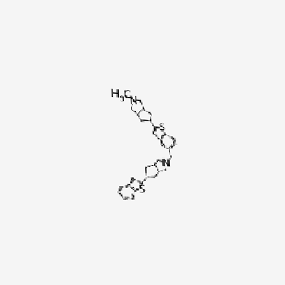 CN1CC2CC(c3cc4cc(CN5CC6C=C(c7cc8ccccc8s7)CC6C5)ccc4s3)CC2C1